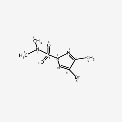 Cc1nn(S(=O)(=O)N(C)C)cc1Br